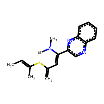 C=C(/C=C(/c1cnc2ccccc2n1)N(C)CC)S/C(C)=C/C